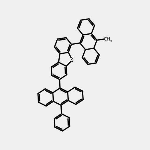 CC1=c2ccccc2=C(c2cccc3c2sc2cc(-c4c5ccccc5c(-c5ccccc5)c5ccccc45)ccc23)C2C=CC=CC12